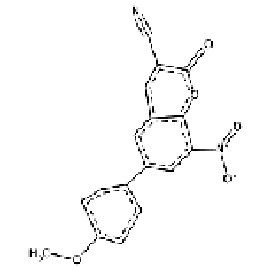 COc1ccc(-c2cc([N+](=O)[O-])c3oc(=O)c(C#N)cc3c2)cc1